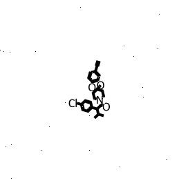 C#Cc1ccc2c(c1)OC1(CCN(C(=O)C(c3ccc(Cl)cc3)C(C)C)CC1)O2